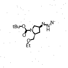 CCOC[C@@H]1C/C(=N\[NH+]=[N-])CN1C(=O)OC(C)(C)C